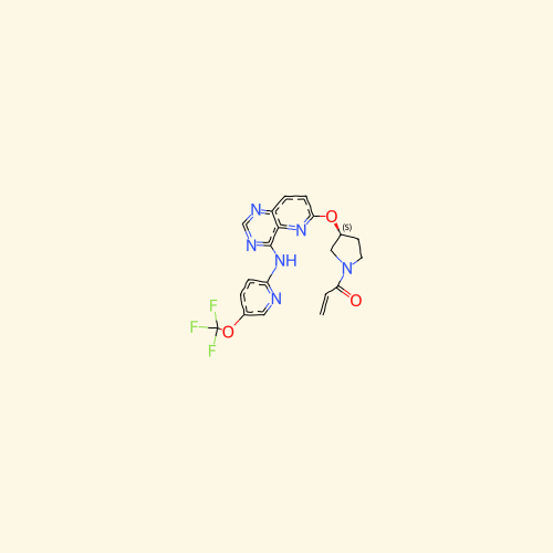 C=CC(=O)N1CC[C@H](Oc2ccc3ncnc(Nc4ccc(OC(F)(F)F)cn4)c3n2)C1